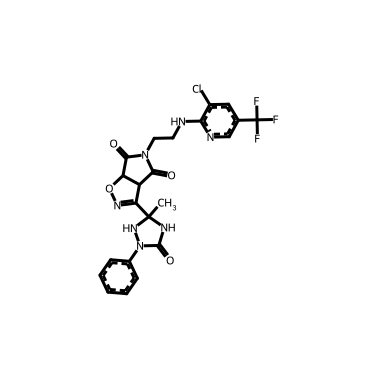 CC1(C2=NOC3C(=O)N(CCNc4ncc(C(F)(F)F)cc4Cl)C(=O)C23)NC(=O)N(c2ccccc2)N1